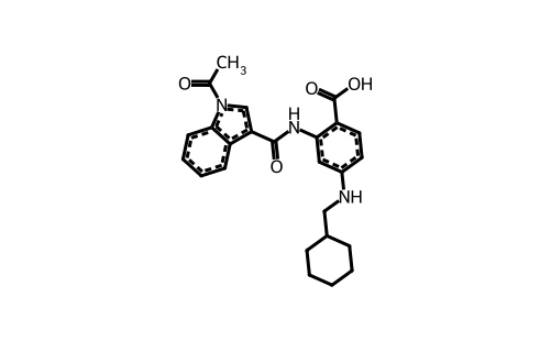 CC(=O)n1cc(C(=O)Nc2cc(NCC3CCCCC3)ccc2C(=O)O)c2ccccc21